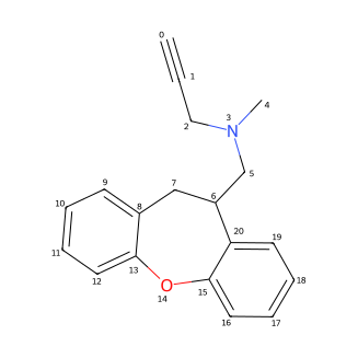 C#CCN(C)CC1Cc2ccccc2Oc2ccccc21